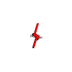 CCCCCCCCCCCCCCn1cc(Oc2cn(CCCCCCCCCCCCCC)c(C(C)=O)c(O)c2=O)c(=O)c(O)c1C(C)=O